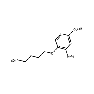 CCCCCCCCCCCCCCOc1ccc(C(=O)OCC)cc1OC